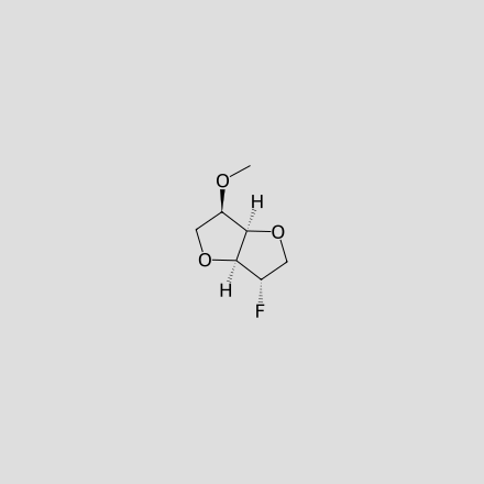 CO[C@@H]1CO[C@H]2[C@@H]1OC[C@@H]2F